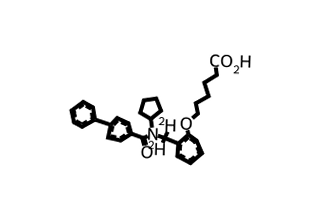 [2H]C([2H])(c1ccccc1OCCCCCC(=O)O)N(C(=O)c1ccc(-c2ccccc2)cc1)C1CCCC1